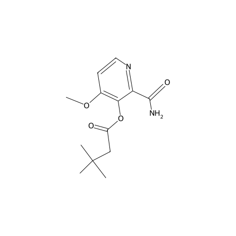 COc1ccnc(C(N)=O)c1OC(=O)CC(C)(C)C